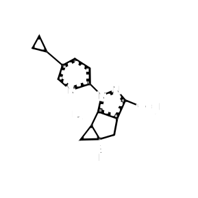 O=C(O)c1nn(-c2ccc(C3CC3)cn2)c2c1C[C@H]1C[C@@H]21